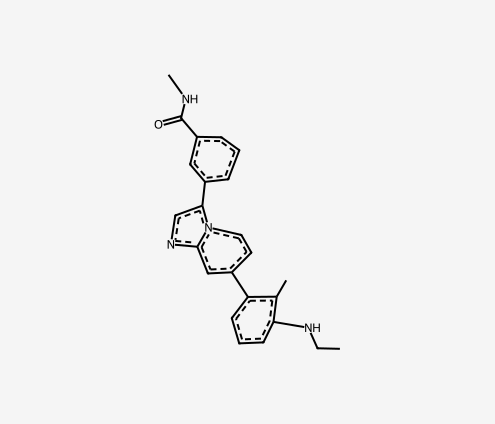 CCNc1cccc(-c2ccn3c(-c4cccc(C(=O)NC)c4)cnc3c2)c1C